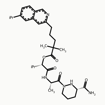 CC(C)c1ccc2cnc(CCCC(C)(C)C(=O)O[C@H](C(=O)N[C@@H](C)C(=O)N3CCC[C@@H](C(N)=O)N3)C(C)C)cc2c1